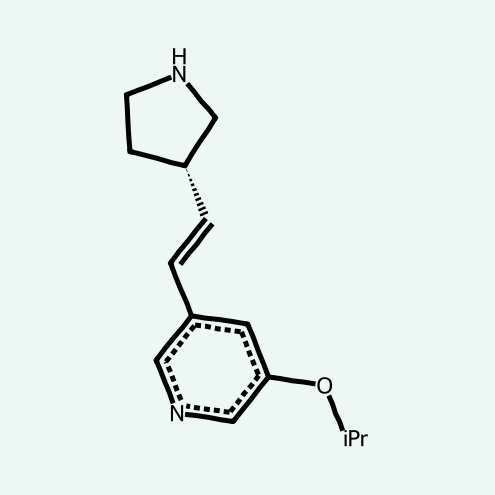 CC(C)Oc1cncc(C=C[C@@H]2CCNC2)c1